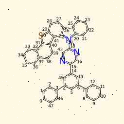 c1ccc(-c2cc(-c3ccccc3)cc(-c3cnc(-n4c5ccccc5c5ccc6sc7c8ccccc8ccc7c6c54)cn3)c2)cc1